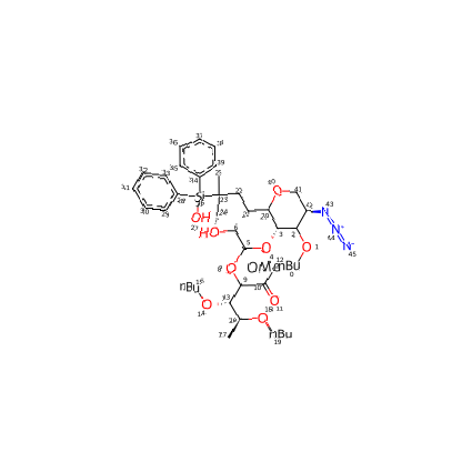 CCCCOC1[C@H](OC(CO)OC(C(=O)OC)[C@@H](OCCCC)[C@H](C)OCCCC)C(CCC(C)(C)[Si](O)(c2ccccc2)c2ccccc2)OC[C@H]1N=[N+]=[N-]